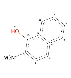 CNc1ccc2ccccc2c1O